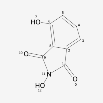 O=C1c2cccc(O)c2C(=O)N1O